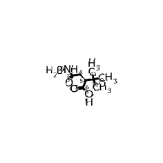 BNC(=O)C[C@H](C(=O)O)C(C)(C)C